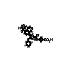 CC(C)(C)NS(=O)(=O)c1ccc(-c2sc(C(=O)N[C@H]3C[C@H](C(=O)O)C3)nc2CC2CCCCC2)c2cnccc12